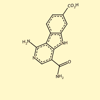 NC(=O)c1cnc(N)c2c1[nH]c1cc(C(=O)O)ccc12